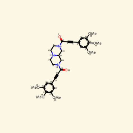 COc1cc(C#CC(=O)N2CCN3CCN(C(=O)C#Cc4cc(OC)c(OC)c(OC)c4)CC3C2)cc(OC)c1OC